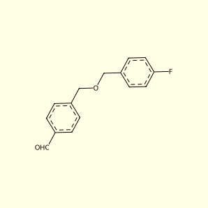 O=Cc1ccc(COCc2ccc(F)cc2)cc1